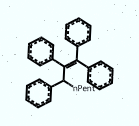 CCCCCC(C(=C(c1ccccc1)c1ccccc1)c1ccccc1)c1ccccc1